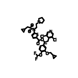 O=C(O[C@@H](Cc1c(Cl)cncc1Cl)c1ccc(OC(F)F)c(OCC2CC2)c1)c1ccc(N(CCN2CCCC2)S(=O)(=O)CC2CC2)s1